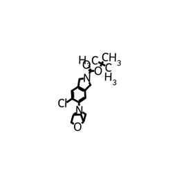 CC(C)(C)OC(=O)N1Cc2cc(Cl)c(N3CC4CC3CO4)cc2C1